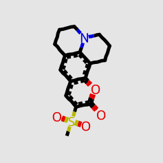 CS(=O)(=O)c1cc2cc3c4c(c2oc1=O)CCCN4CCC3